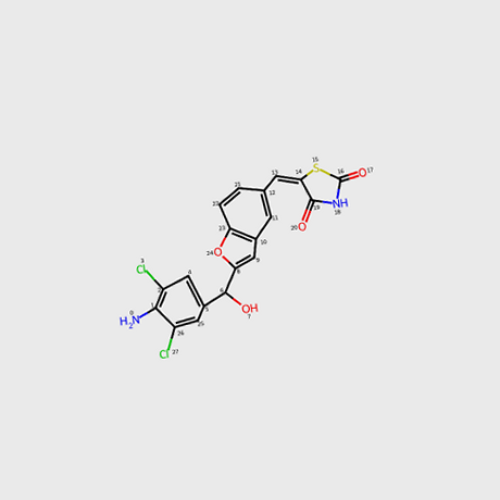 Nc1c(Cl)cc(C(O)c2cc3cc(C=C4SC(=O)NC4=O)ccc3o2)cc1Cl